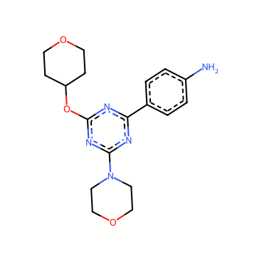 Nc1ccc(-c2nc(OC3CCOCC3)nc(N3CCOCC3)n2)cc1